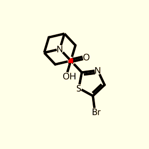 O=C(O)N1C2CC1CN(c1ncc(Br)s1)C2